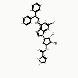 O=C(N[C@H]1C[C@@H](n2cnc3c(NCC(c4ccccc4)c4ccccc4)nc(Cl)nc32)[C@H](O)[C@@H]1O)c1ccno1